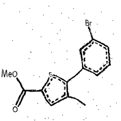 COC(=O)c1cc(C)c(-c2cccc(Br)c2)s1